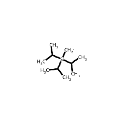 [CH2][Si](C(C)C)(C(C)C)C(C)C